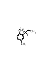 C=CC(F)(F)c1cc(C)ccc1CC